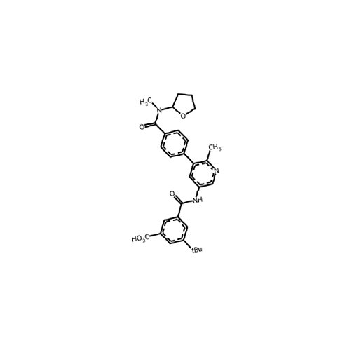 Cc1ncc(NC(=O)c2cc(C(=O)O)cc(C(C)(C)C)c2)cc1-c1ccc(C(=O)N(C)C2CCCO2)cc1